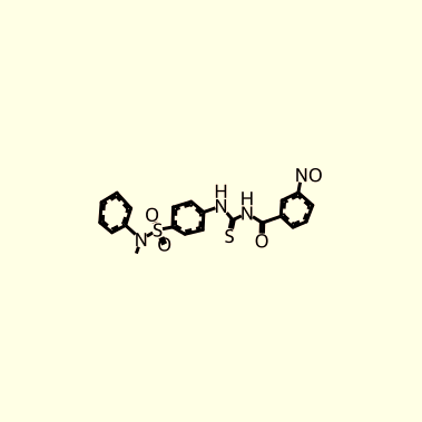 CN(c1ccccc1)S(=O)(=O)c1ccc(NC(=S)NC(=O)c2cccc(N=O)c2)cc1